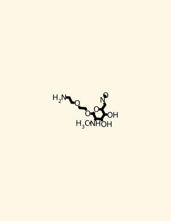 CNC1C(OCCOCCN)OC(CN=O)C(O)C1O